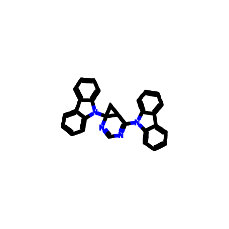 C1=NC2(n3c4ccccc4c4ccccc43)CC2C(n2c3ccccc3c3ccccc32)=N1